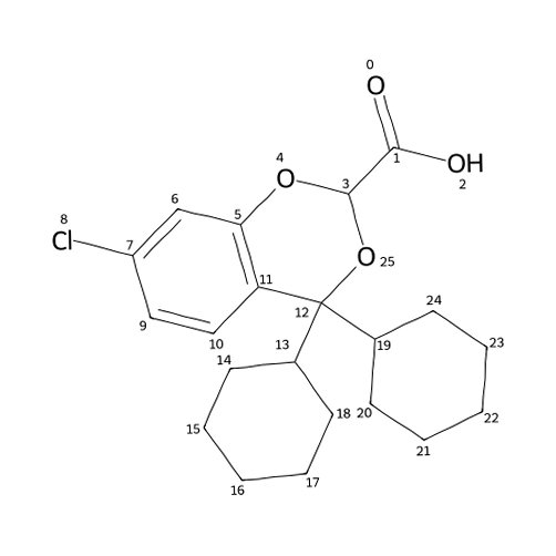 O=C(O)C1Oc2cc(Cl)ccc2C(C2CCCCC2)(C2CCCCC2)O1